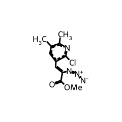 COC(=O)/C(=C/c1cc(C)c(C)nc1Cl)N=[N+]=[N-]